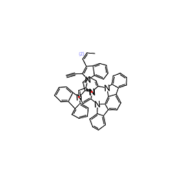 C#Cc1c(/C=C\C)c2ccccc2n1-c1cccc(-n2c3ccccc3c3ccc4c5ccccc5n(-c5cccc(-n6c7ccccc7c7ccccc76)n5)c4c32)n1